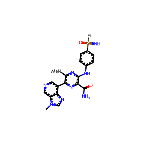 CCS(=N)(=O)c1ccc(Nc2nc(NC)c(-c3cncc4c3ncn4C)nc2C(N)=O)cc1